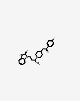 CC(CCn1c(=O)[nH]c2ccccc21)N1CCC(CC(=O)c2ccc(F)cc2)CC1